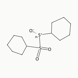 O=S(=O)(C1CCCCC1)[S@+]([O-])C1CCCCC1